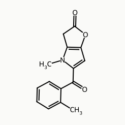 Cc1ccccc1C(=O)c1cc2c(n1C)CC(=O)O2